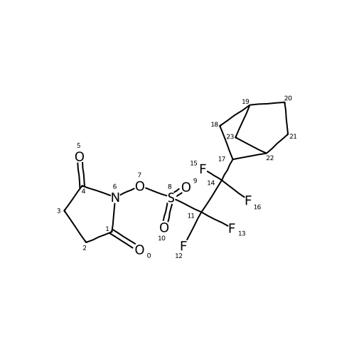 O=C1CCC(=O)N1OS(=O)(=O)C(F)(F)C(F)(F)C1CC2CCC1C2